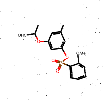 COc1ccccc1S(=O)(=O)Oc1cc(C)cc(OC(C)C=O)c1